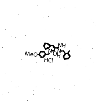 COc1ccc(Cn2c(=O)c(C(=N)NCc3ccccc3C)cc3ccccc32)cc1.Cl